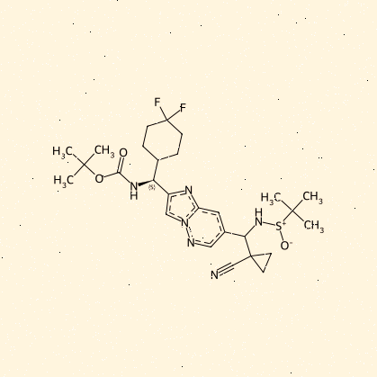 CC(C)(C)OC(=O)N[C@H](c1cn2ncc(C(N[S+]([O-])C(C)(C)C)C3(C#N)CC3)cc2n1)C1CCC(F)(F)CC1